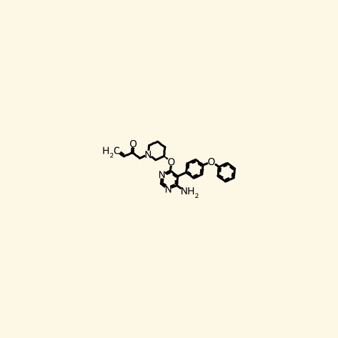 C=CC(=O)CN1CCC[C@@H](Oc2ncnc(N)c2-c2ccc(Oc3ccccc3)cc2)C1